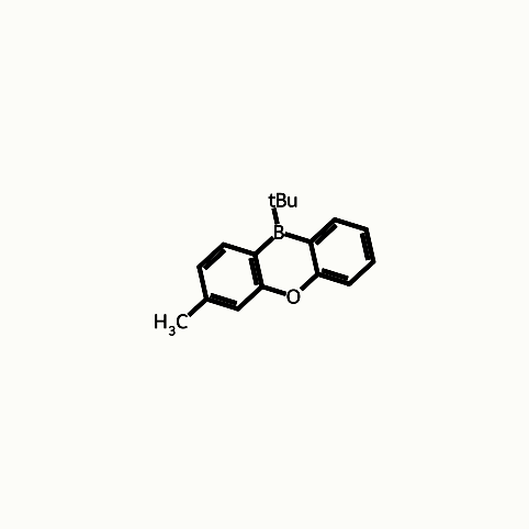 Cc1ccc2c(c1)Oc1ccccc1B2C(C)(C)C